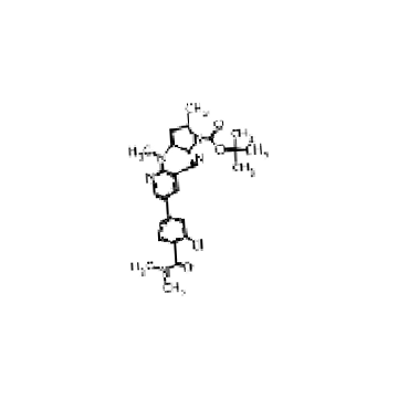 CC1CC(N(C)c2ncc(-c3ccc(C(=O)N(C)C)c(Cl)c3)cc2C#N)CN1C(=O)OC(C)(C)C